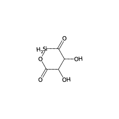 O=C1O[SiH2]C(=O)C(O)C1O